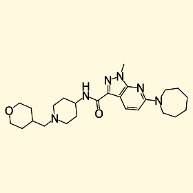 Cn1nc(C(=O)NC2CCN(CC3CCOCC3)CC2)c2ccc(N3CCCCCC3)nc21